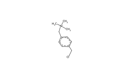 C[N+](C)(C)Cc1ccc(CCl)cc1